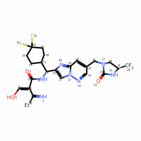 CCC(=N)/C(=C\O)C(=O)N[C@H](c1cn2ncc(CN3C[C@@H](C(F)(F)F)NC3=O)cc2n1)C1CCC(F)(F)CC1